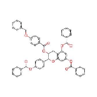 O=C(Oc1ccc(C2Oc3cc(OC(=O)c4ccccc4)cc(OC(=O)c4ccccc4)c3CC2OC(=O)c2ccc(OCc3ccccc3)cc2)cc1)c1ccccc1